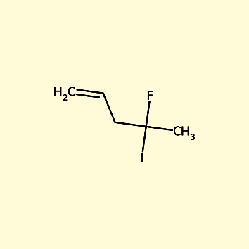 C=CCC(C)(F)I